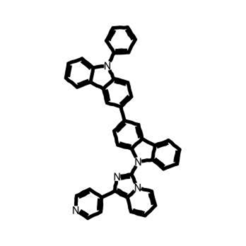 c1ccc(-n2c3ccccc3c3cc(-c4ccc5c(c4)c4ccccc4n5-c4nc(-c5ccncc5)c5ccccn45)ccc32)cc1